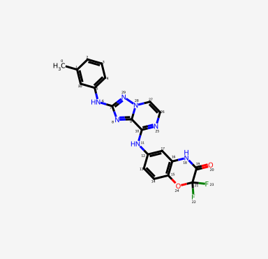 Cc1cccc(Nc2nc3c(Nc4ccc5c(c4)NC(=O)C(F)(F)O5)nccn3n2)c1